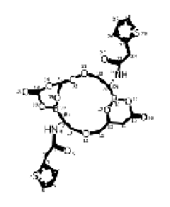 O=C(Cc1cccs1)N[C@H]1COCC2CC(=O)OB(O2)[C@@H](NC(=O)Cc2cccs2)COCC2CC(=O)OB1O2